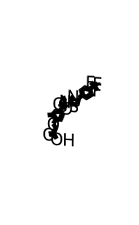 Cc1cc(S(=O)(=O)N(C)c2nc(-c3ccc(C(F)(F)F)cc3)cs2)ccc1OCC(=O)O